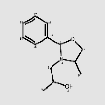 CC(O)CN1C(C)COC1c1ccccc1